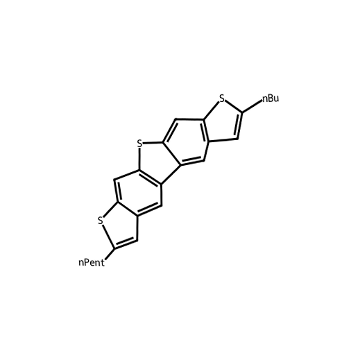 CCCCCc1cc2cc3c(cc2s1)sc1cc2sc(CCCC)cc2cc13